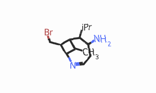 CC(C)C1C(N)C/C=N\C2C(C)C1C2CBr